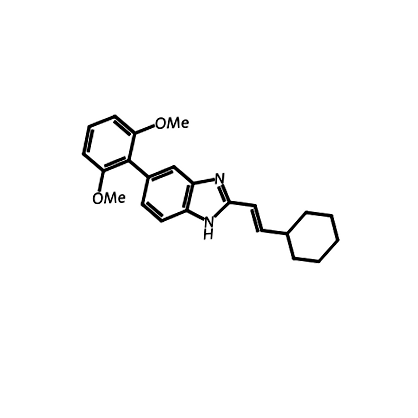 COc1cccc(OC)c1-c1ccc2[nH]c(/C=C/C3CCCCC3)nc2c1